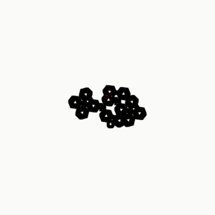 c1ccc(-c2ccccc2N(c2cccc(N(c3ccc4c(c3)-c3ccccc3C4(c3ccccc3)c3ccccc3)c3ccc4oc5ccccc5c4c3)c2)c2cccc(C3(c4ccccc4)c4ccccc4-c4ccccc43)c2)cc1